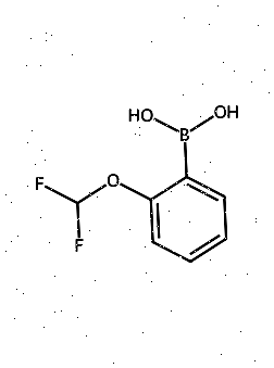 OB(O)c1ccccc1OC(F)F